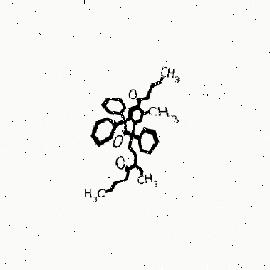 CCCCC(=O)C(CC)CCC(C(=O)C(CCC(CC)C(=O)CCCC)(C1CCCCC1)C1CCCCC1)(C1CCCCC1)C1CCCCC1